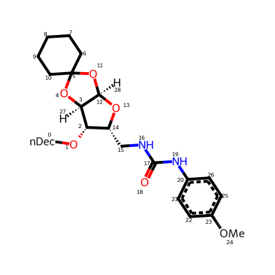 CCCCCCCCCCO[C@@H]1[C@H]2OC3(CCCCC3)O[C@H]2O[C@@H]1CNC(=O)Nc1ccc(OC)cc1